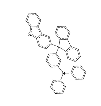 c1ccc(N(c2ccccc2)c2cccc(C3(c4ccc5sc6ccccc6c5c4)c4ccccc4-c4ccccc43)c2)cc1